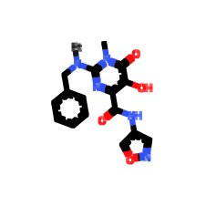 CCN(Cc1ccccc1)c1nc(C(=O)Nc2cnoc2)c(O)c(=O)n1C